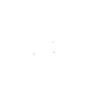 CS(=O)(=O)Nc1cc(Cl)ccc1C=CC(=O)N1C2CCC1CN(Cc1ccc(F)cc1)C2